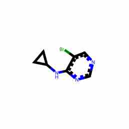 Brc1cncnc1NC1CC1